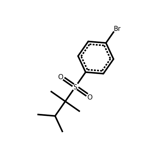 CC(C)C(C)(C)S(=O)(=O)c1ccc(Br)cc1